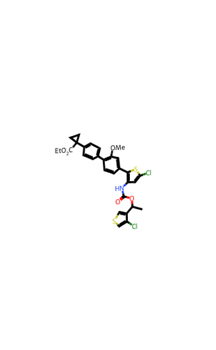 CCOC(=O)C1(c2ccc(-c3ccc(-c4sc(Cl)cc4NC(=O)OC(C)c4cscc4Cl)cc3OC)cc2)CC1